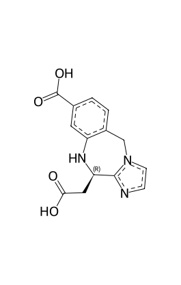 O=C(O)C[C@H]1Nc2cc(C(=O)O)ccc2Cn2ccnc21